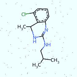 CC(C)CNC1=Nc2cccc(Cl)c2C(C)N1